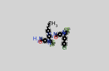 CCCCc1ccc(-c2ccc(-c3cc(C(F)(F)F)nn3-c3ccc(C(N)=O)cc3)cc2)cc1.NC(=O)c1ccc(-n2nc(C(F)(F)F)cc2-c2ccc(-c3ccc(Cl)cc3)cc2)cc1